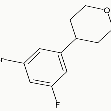 Fc1cc(Br)cc(C2CCOCC2)c1